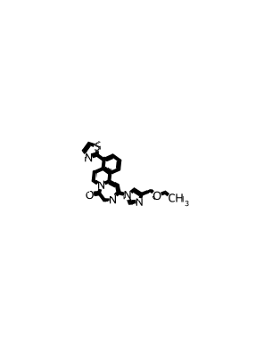 CCOCc1cn(C2=NCC(=O)N3CCc4c(cccc4-c4nccs4)C3=C2)cn1